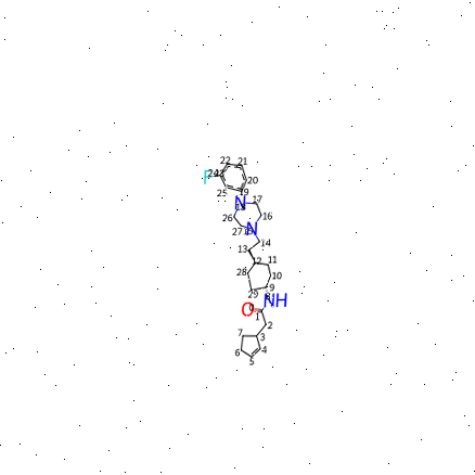 O=C(CC1C=CCC1)N[C@H]1CC[C@H](CCN2CCN(c3cccc(F)c3)CC2)CC1